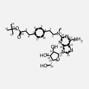 CN(CCc1ccc(CCC(=O)OC(C)(C)C)cc1)c1nc(N)c2ncn([C@@H]3O[C@H](CO)[C@@H](O)[C@H]3O)c2n1